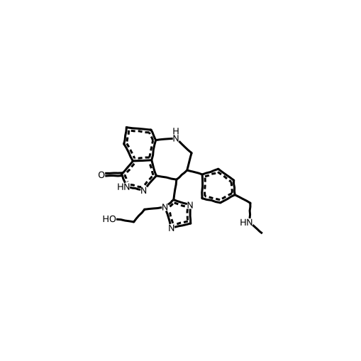 CNCc1ccc(C2CNc3cccc4c(=O)[nH]nc(c34)C2c2ncnn2CCO)cc1